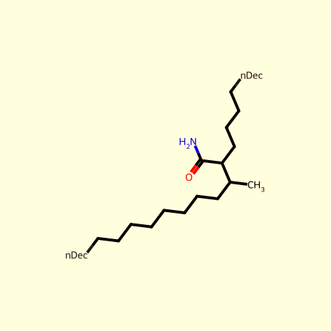 CCCCCCCCCCCCCCCCCCC(C)C(CCCCCCCCCCCCCC)C(N)=O